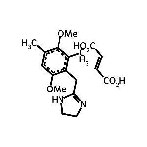 COc1cc(C)c(OC)c(C)c1CC1=NCCN1.O=C(O)/C=C/C(=O)O